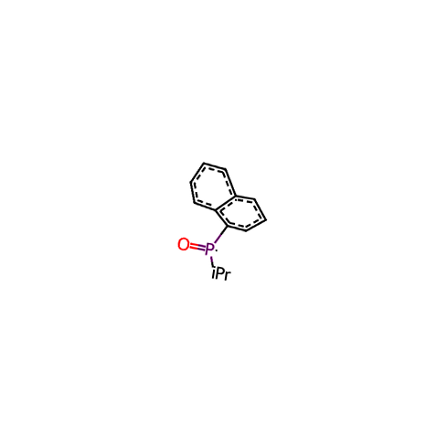 CC(C)[P](=O)c1cccc2ccccc12